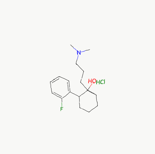 CN(C)CCCC1(O)CCCCC1c1ccccc1F.Cl